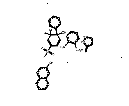 CCS(=O)(=O)C1=CC(C)(N)C(O)(c2ccccc2)C=C1.Nc1ccccc1C(=O)O.O=c1cc[nH][nH]1.Oc1ccc2ccccc2c1